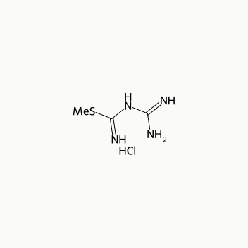 CSC(=N)NC(=N)N.Cl